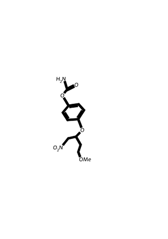 COCCC(C[N+](=O)[O-])Oc1ccc(OC(N)=O)cc1